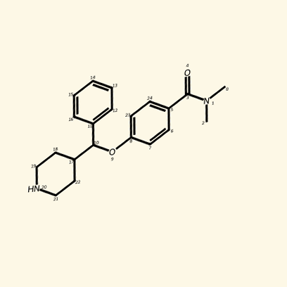 CN(C)C(=O)c1ccc(OC(c2ccccc2)C2CCNCC2)cc1